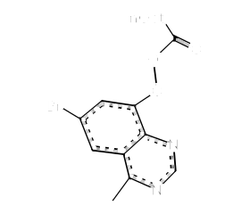 CCCCCCCCC(=O)OOc1cc(Br)cc2c(C)ncnc12